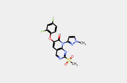 Cn1ccc(-n2c(=O)c(Oc3ccc(F)cc3F)cc3cnc(S(C)(=O)=O)nc32)n1